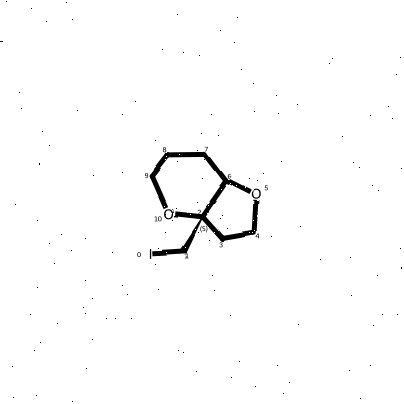 IC[C@]12CCOC1CCCO2